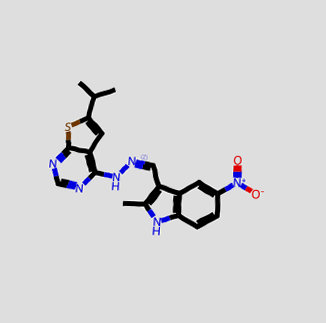 Cc1[nH]c2ccc([N+](=O)[O-])cc2c1/C=N\Nc1ncnc2sc(C(C)C)cc12